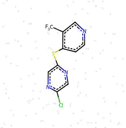 FC(F)(F)c1cnccc1Sc1cnc(Cl)cn1